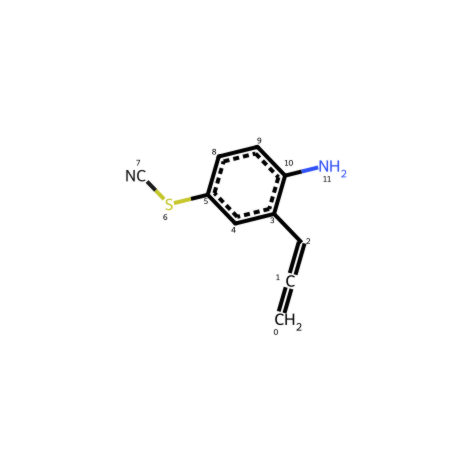 C=C=Cc1cc(SC#N)ccc1N